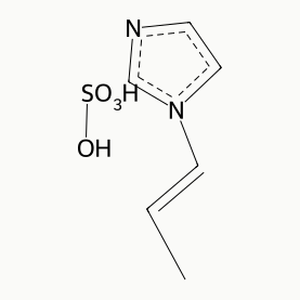 CC=Cn1ccnc1.O=S(=O)(O)O